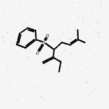 C=C(CC)C(CC=C(C)C)S(=O)(=O)c1ccccc1